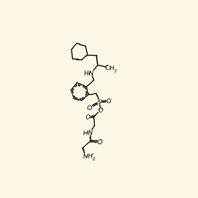 CC(CC1CCCCC1)NCc1ccccc1CS(=O)(=O)OC(=O)CNC(=O)CN